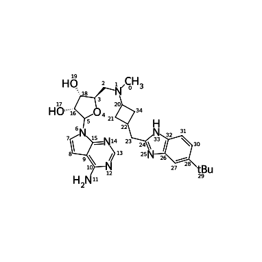 CN(C[C@H]1OC(n2ccc3c(N)ncnc32)[C@H](O)[C@@H]1O)C1CC(Cc2nc3cc(C(C)(C)C)ccc3[nH]2)C1